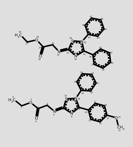 CCOC(=O)CN=c1nc(-c2ccc(OC)cc2)n(-c2ccccc2)s1.CCOC(=O)CN=c1nc(-c2ccccc2)n(-c2ccccc2)s1